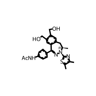 CC(=O)Nc1ccc(C2=NN(c3nc(C)c(C)s3)[C@H](C)Cc3cc(CO)c(CO)cc32)cc1